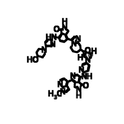 Cn1ccc2c(-c3ncc(Nc4ccc(N5C[C@H]6C[C@@H]5C(C5CCCn7c(-c8ccc(Nc9ccc(N%10CCC(O)CC%10)cn9)c9c8CNC9=O)cnc7C5)O6)cn4)c4c3CNC4=O)ccnc21